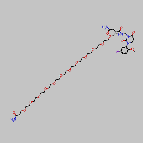 COc1ccc(I)cc1N1CCC(=O)N(CNC(=O)[C@H](COCCOCCOCCOCCOCCOCCOCCOCCOCCOCCOCCOCCC(N)=O)CC(N)=O)C1=O